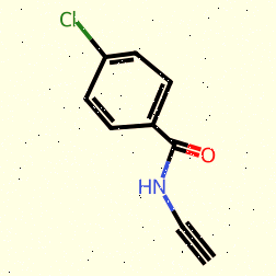 C#CNC(=O)c1ccc(Cl)cc1